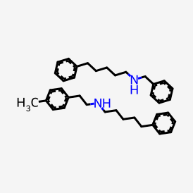 Cc1ccc(CCNCCCCCc2ccccc2)cc1.c1ccc(CCCCCNCc2ccccc2)cc1